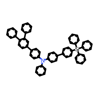 c1ccc(-c2ccc(-c3ccc(N(c4ccccc4)c4ccc(-c5ccc([Si](c6ccccc6)(c6ccccc6)c6ccccc6)cc5)cc4)cc3)cc2-c2ccccc2)cc1